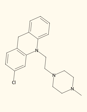 CN1CCN(CCN2c3ccccc3Cc3ccc(Cl)cc32)CC1